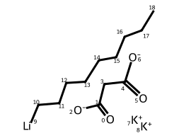 O=C([O-])CC(=O)[O-].[K+].[K+].[Li][CH2]CCCCCCCC